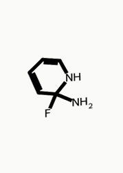 NC1(F)C=CC=CN1